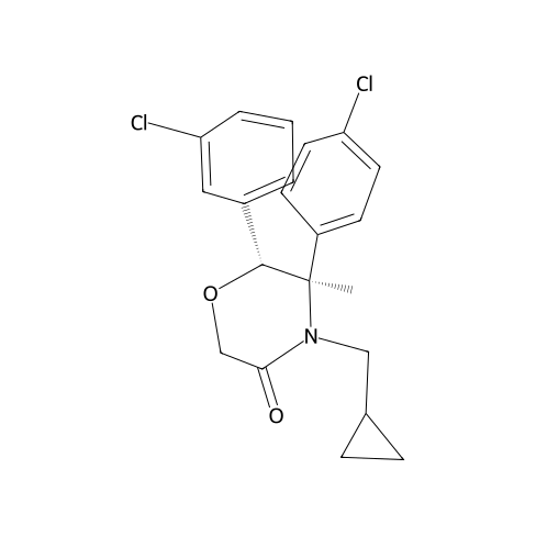 C[C@@]1(c2ccc(Cl)cc2)[C@@H](c2cccc(Cl)c2)OCC(=O)N1CC1CC1